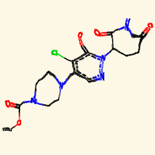 CC(C)(C)OC(=O)N1CCN(c2cnn(C3CCC(=O)NC3=O)c(=O)c2Cl)CC1